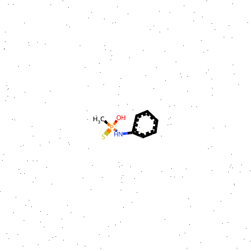 CP(O)(=S)Nc1ccccc1